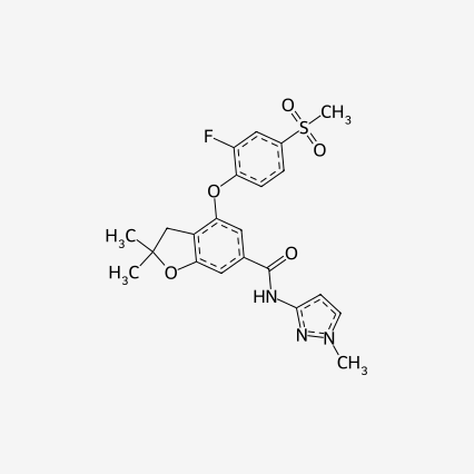 Cn1ccc(NC(=O)c2cc(Oc3ccc(S(C)(=O)=O)cc3F)c3c(c2)OC(C)(C)C3)n1